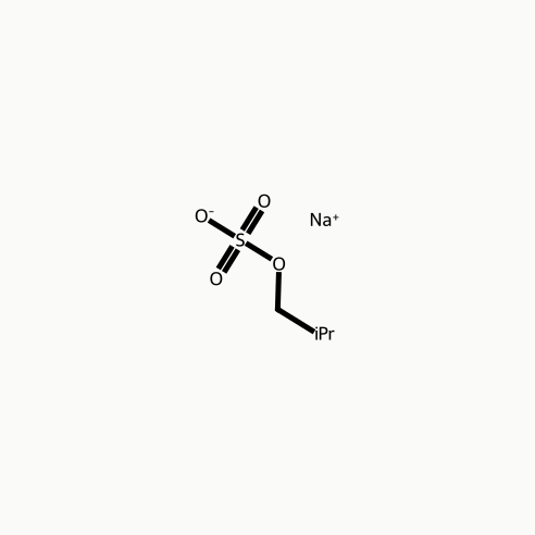 CC(C)COS(=O)(=O)[O-].[Na+]